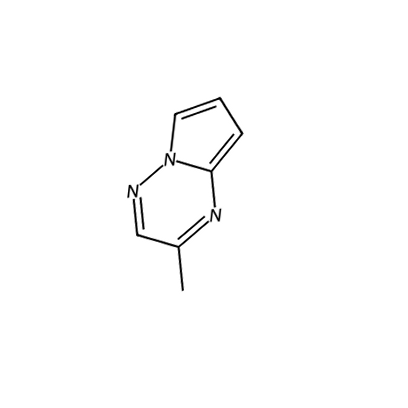 Cc1cnn2cccc2n1